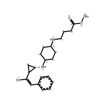 CCC(=Cc1ccccc1)C1C[C@@H]1NC1CCC(NCCCC(=O)OC(C)(C)C)CC1